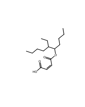 CCCCC(CC)C(CCCC)OC(=O)/C=C\C(=O)O